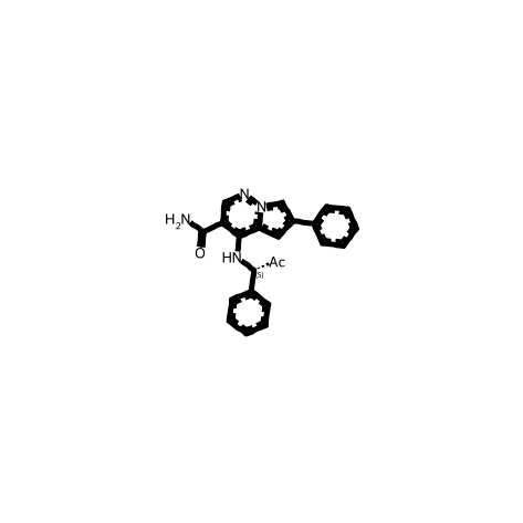 CC(=O)[C@@H](Nc1c(C(N)=O)cnn2cc(-c3ccccc3)cc12)c1ccccc1